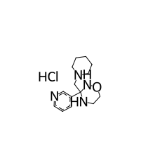 Cl.c1cncc(C2(CN3CCCCC3)NCCON2)c1